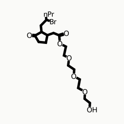 CCCC(Br)CC1C(=O)CCC1CC(=O)OCCOCCOCCOCCO